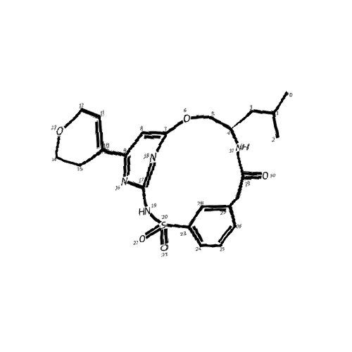 CC(C)C[C@@H]1COc2cc(C3=CCOCC3)nc(n2)NS(=O)(=O)c2cccc(c2)C(=O)N1